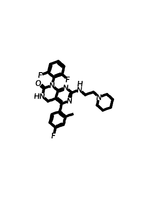 Cc1cc(F)ccc1-c1nc(NCCN2CCCCC2)nc2c1CNC(=O)N2c1c(F)cccc1F